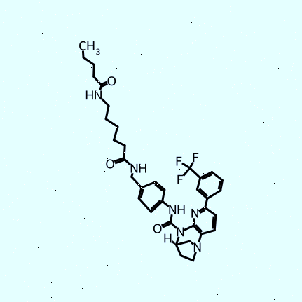 CCCCC(=O)NCCCCCC(=O)NCc1ccc(NC(=O)N2c3nc(-c4cccc(C(F)(F)F)c4)ccc3N3CC[C@H]2C3)cc1